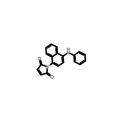 O=C1C=CC(=O)[N+]1c1ccc(Nc2ccccc2)c2ccccc12